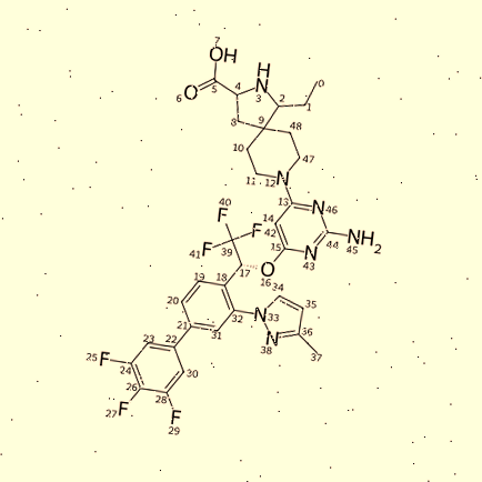 CCC1NC(C(=O)O)CC12CCN(c1cc(O[C@H](c3ccc(-c4cc(F)c(F)c(F)c4)cc3-n3ccc(C)n3)C(F)(F)F)nc(N)n1)CC2